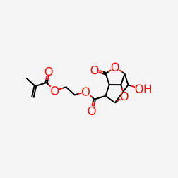 C=C(C)C(=O)OCCOC(=O)C1C2OC3C(OC(=O)C31)C2O